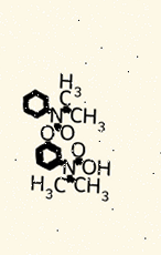 CC(C)N(C(=O)O)c1cccc(OC(=O)N(C(C)C)C2CCCCC2)c1